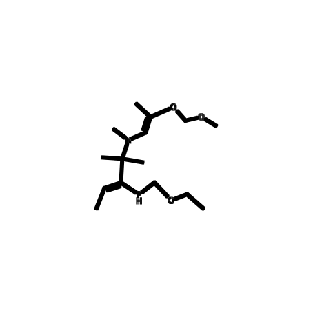 C/C=C(\PCOCC)C(C)(C)N(C)/C=C(\C)OCOC